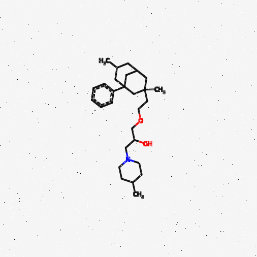 CC1CCN(CC(O)COCCC2(C)CC3CC(C)CC(c4ccccc4)(C3)C2)CC1